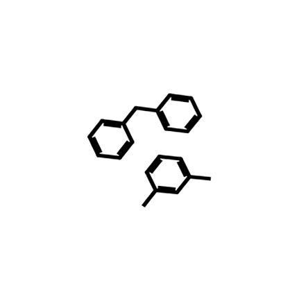 Cc1cccc(C)c1.c1ccc(Cc2ccccc2)cc1